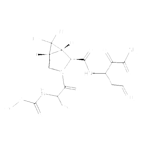 C=CCC(NC(=O)[C@@H]1[C@@H]2[C@H](CN1C(=O)C(NC(=O)OC(C)(C)C)C(C)(C)C)C2(C)C)C(=O)C(N)=O